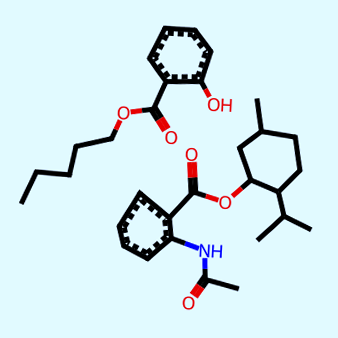 CC(=O)Nc1ccccc1C(=O)OC1CC(C)CCC1C(C)C.CCCCCOC(=O)c1ccccc1O